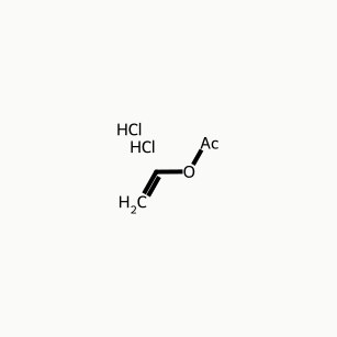 C=COC(C)=O.Cl.Cl